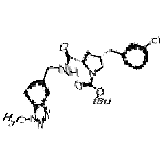 Cn1nnc2cc(CNC(=O)[C@@H]3C[C@H](Cc4cccc(Cl)c4)CN3C(=O)OC(C)(C)C)ccc21